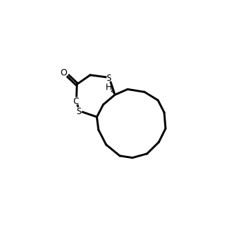 O=C1CSC2CCCCCCCCCCC[C@@H](C2)SC1